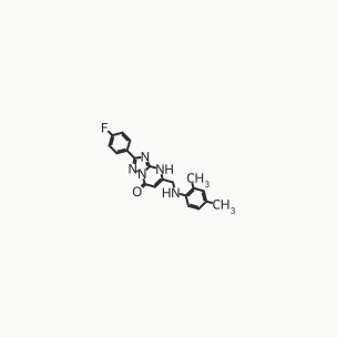 Cc1ccc(NCc2cc(=O)n3nc(-c4ccc(F)cc4)nc3[nH]2)c(C)c1